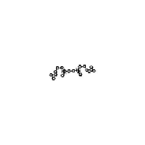 c1ccc(-c2nc(-c3ccc(-c4ccc(-c5nc(-c6ccccc6)nc(-c6cccc(-c7cccc(-c8ccc9ccc%10c%11ccccc%11c%11ccccc%11c%10c9c8)c7)c6)n5)cc4)cc3)nc(-c3cccc(-c4cccc(-c5ccc6c(ccc7c8ccccc8c8ccccc8c67)c5)c4)c3)n2)cc1